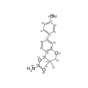 CC(C)(C)c1ccc(-c2ccc3c(c2)OCC(C)(C)C3OC(N)=O)cc1